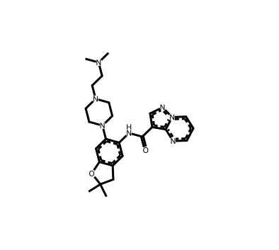 CN(C)CCN1CCN(c2cc3c(cc2NC(=O)c2cnn4cccnc24)CC(C)(C)O3)CC1